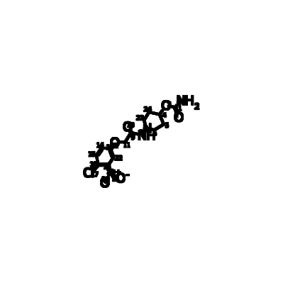 NC(=O)OC1CCN(NC(=O)COc2ccc(Cl)c([N+](=O)[O-])c2)CC1